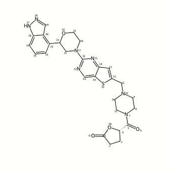 O=C1CC[C@@H](C(=O)N2CCN(Cc3cc4nc(N5CCOC(c6cccc7[nH]ncc67)C5)ncc4s3)CC2)O1